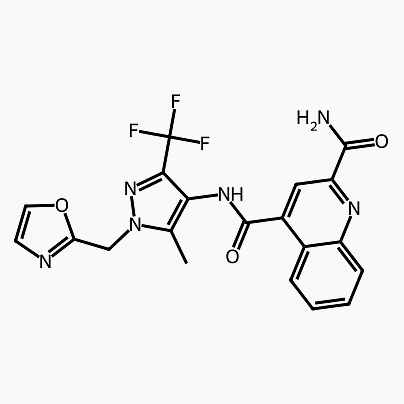 Cc1c(NC(=O)c2cc(C(N)=O)nc3ccccc23)c(C(F)(F)F)nn1Cc1ncco1